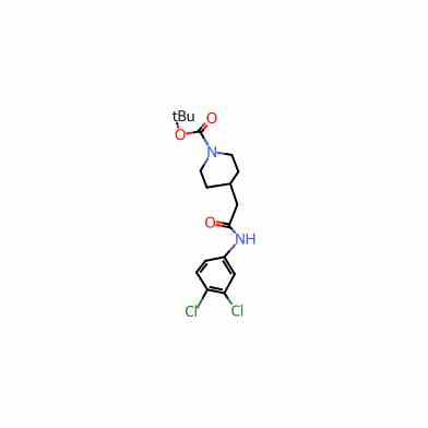 CC(C)(C)OC(=O)N1CCC(CC(=O)Nc2ccc(Cl)c(Cl)c2)CC1